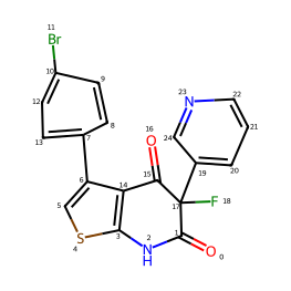 O=C1Nc2scc(-c3ccc(Br)cc3)c2C(=O)C1(F)c1cccnc1